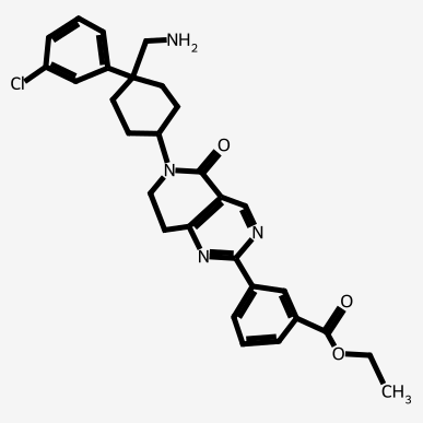 CCOC(=O)c1cccc(-c2ncc3c(n2)CCN(C2CCC(CN)(c4cccc(Cl)c4)CC2)C3=O)c1